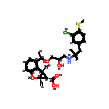 CSc1ccc(CC(C)(C)NC[C@@H](O)CO[C@H](C)c2cccc3c2[C@@H]2[C@H](O3)[C@H]2C(=O)O)cc1Cl